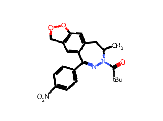 CC1Cc2cc3c(cc2C(c2ccc([N+](=O)[O-])cc2)=NN1C(=O)C(C)(C)C)COO3